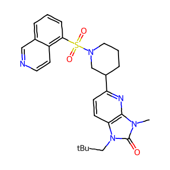 Cn1c(=O)n(CC(C)(C)C)c2ccc(C3CCCN(S(=O)(=O)c4cccc5cnccc45)C3)nc21